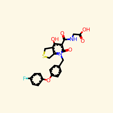 O=C(O)CNC(=O)c1c(O)c2c(n(Cc3ccc(Oc4ccc(F)cc4)cc3)c1=O)CSC2